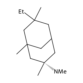 CCC1(C)CC2CC(C)(C1)C[C@@](C)(NC)C2